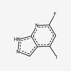 Fc1cc(I)c2cn[nH]c2n1